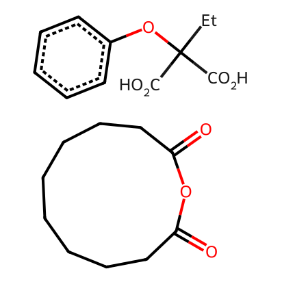 CCC(Oc1ccccc1)(C(=O)O)C(=O)O.O=C1CCCCCCCCC(=O)O1